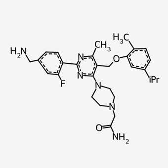 Cc1ccc(C(C)C)cc1OCc1c(C)nc(-c2ccc(CN)cc2F)nc1N1CCN(CC(N)=O)CC1